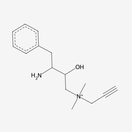 C#CC[N+](C)(C)CC(O)C(N)Cc1ccccc1